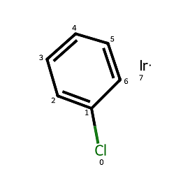 Clc1ccccc1.[Ir]